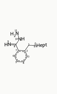 CCCCCCCCc1ccccc1C(=N)NN